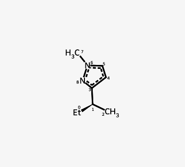 CC[C@H](C)c1ccn(C)n1